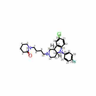 O=C1CCCCN1CCCCN1CC[C@@H]2[C@@H](C1)c1cc(Cl)ccc1N2c1ccc(F)cc1